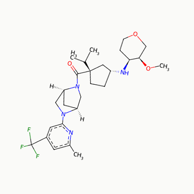 CO[C@@H]1COCC[C@@H]1N[C@@H]1CC[C@@](C(=O)N2C[C@@H]3C[C@H]2CN3c2cc(C(F)(F)F)cc(C)n2)(C(C)C)C1